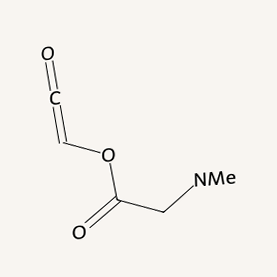 CNCC(=O)OC=C=O